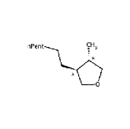 CCCCCCC[C@@H]1COC[C@H]1C